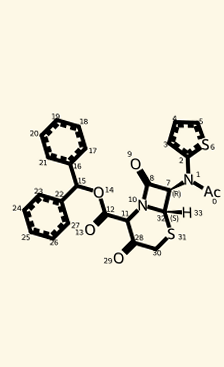 CC(=O)N(c1cccs1)[C@@H]1C(=O)N2C(C(=O)OC(c3ccccc3)c3ccccc3)C(=O)CS[C@@H]12